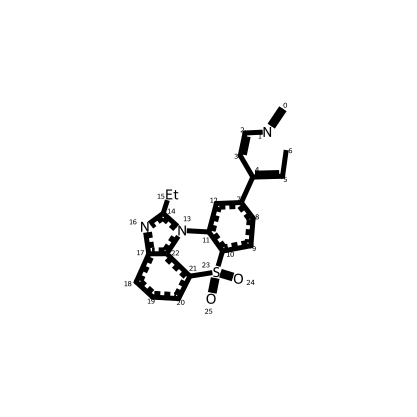 C=N/C=C\C(=C/C)c1ccc2c(c1)-n1c(CC)nc3cccc(c31)S2(=O)=O